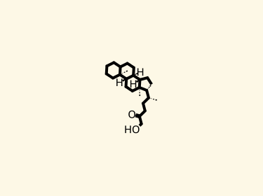 C[C@H](CCC(=O)CO)[C@H]1CC[C@H]2[C@@H]3CCC4CCCC[C@]4(C)[C@H]3CC[C@]12C